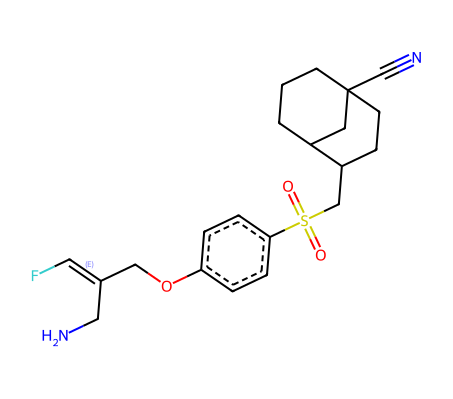 N#CC12CCCC(C1)C(CS(=O)(=O)c1ccc(OC/C(=C/F)CN)cc1)CC2